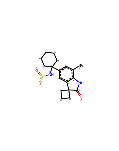 CC(C)c1cc(C2(N[SH](=O)=O)CCCCC2)cc2c1NC(=O)C21CCC1